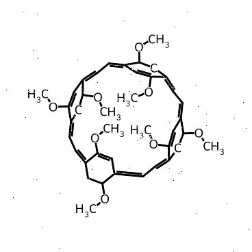 COC1=CC2=C\C=C3\CC(OC)/C(=C/C=C4/CC(OC)/C(=C/C=C5C=C(OC)/C(=C/C=C\1CC\2OC)CC/5OC)C=C4OC)C=C3OC